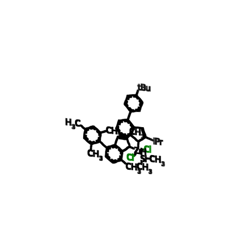 CC1=Cc2c(-c3c(C)cc(C)cc3C)ccc(C)c2[CH]1[Zr]([Cl])([Cl])([CH]1C(C(C)C)=Cc2c(-c3ccc(C(C)(C)C)cc3)cccc21)[SiH](C)C